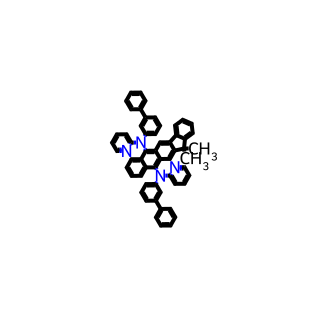 CC1(C)c2ccccc2-c2cc3c(N(c4cccc(-c5ccccc5)c4)c4ccccn4)c4ccccc4c(N(c4cccc(-c5ccccc5)c4)c4ccccn4)c3cc21